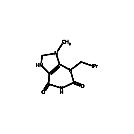 CC(C)Cn1c2c(c(=O)[nH]c1=O)NCN2C